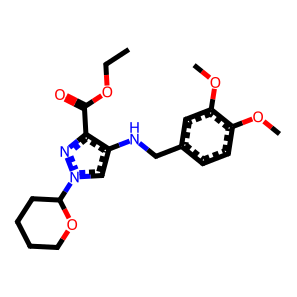 CCOC(=O)c1nn(C2CCCCO2)cc1NCc1ccc(OC)c(OC)c1